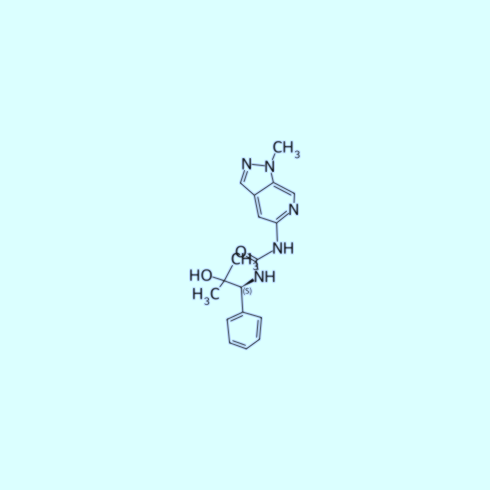 Cn1ncc2cc(NC(=O)N[C@@H](c3ccccc3)C(C)(C)O)ncc21